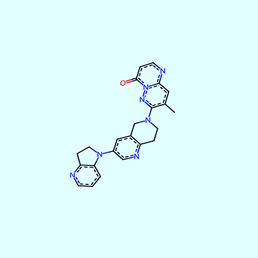 Cc1cc2nccc(=O)n2nc1N1CCc2ncc(N3CCc4ncccc43)cc2C1